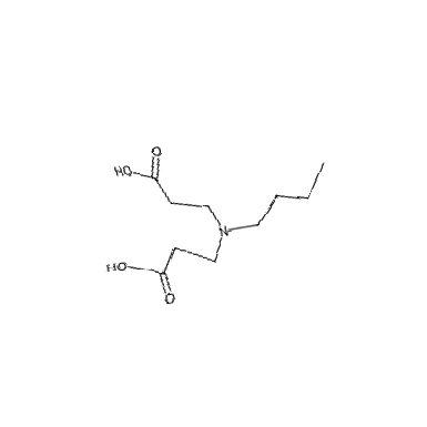 CCCCN(CCC(=O)O)CCC(=O)O